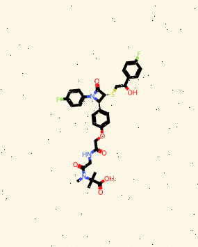 CN(C(=O)CNC(=O)COc1ccc([C@@H]2[C@@H](SCC(O)c3ccc(F)cc3)C(=O)N2c2ccc(F)cc2)cc1)C(C)(C)C(=O)O